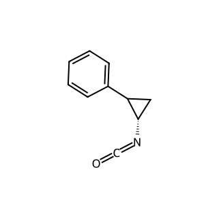 O=C=N[C@H]1CC1c1ccccc1